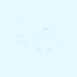 Cc1c(-c2cc3cc(NC(=O)OC4COCC4C#N)ncc3c(NC(=O)OC(C)(C)C)c2F)cnc2c1N(C(=O)O)CCO2